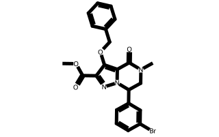 COC(=O)c1nn2c(c1OCc1ccccc1)C(=O)N(C)CC2c1cccc(Br)c1